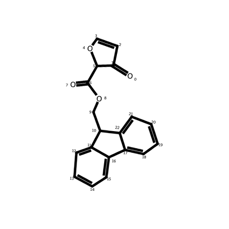 O=C1C=COC1C(=O)OCC1c2ccccc2-c2ccccc21